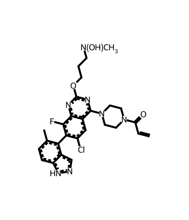 C=CC(=O)N1CCN(c2nc(OCCCN(C)O)nc3c(F)c(-c4c(C)ccc5[nH]ncc45)c(Cl)cc23)CC1